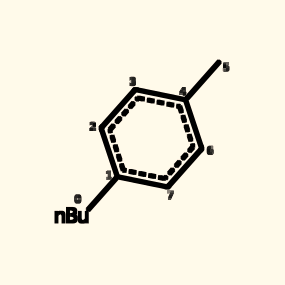 C[CH]CCc1ccc(C)cc1